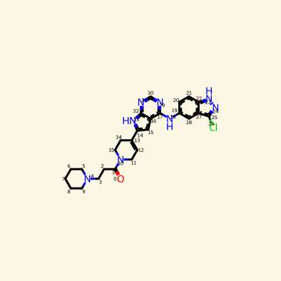 O=C(CCN1CCCCC1)N1CC=C(c2cc3c(Nc4ccc5[nH]nc(Cl)c5c4)ncnc3[nH]2)CC1